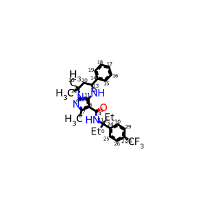 CCC(CC)(NC(=O)c1c(C)nn2c1NC(c1ccccc1)CC2(C)C)c1ccc(C(F)(F)F)cc1